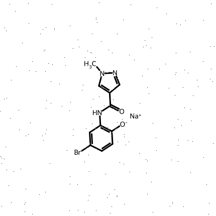 Cn1cc(C(=O)Nc2cc(Br)ccc2[O-])cn1.[Na+]